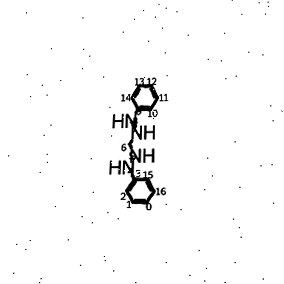 c1ccc(NNCNNc2ccccc2)cc1